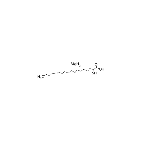 CCCCCCCCCCCCCCCCC(S)C(=O)O.[MgH2]